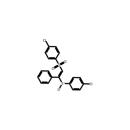 O=S(=O)(/C=C(\c1ccccc1)[S+]([O-])c1ccc(Cl)cc1)c1ccc(Cl)cc1